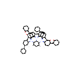 N#Cc1cc(C#N)c(-n2c3cc(-c4ccccc4)ccc3c3c4oc5ccccc5c4ccc32)c(-n2c3ccccc3c3ccccc32)c1-n1c2cc(-c3ccccc3)ccc2c2c3oc4ccccc4c3ccc21